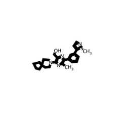 Cc1nc(N2CCC3(CCCC3)CC2)c(CO)nc1-c1cccc(-c2ccnn2C)c1